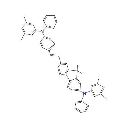 Cc1cc(C)cc(N(c2ccccc2)c2ccc(/C=C/c3ccc4c(c3)C(C)(C)c3cc(N(c5ccccc5)c5cc(C)cc(C)c5)ccc3-4)cc2)c1